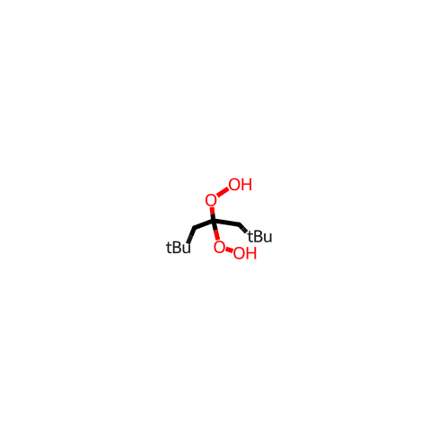 CC(C)(C)CC(CC(C)(C)C)(OO)OO